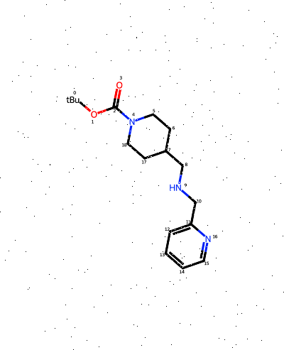 CC(C)(C)OC(=O)N1CCC(CNCc2ccccn2)CC1